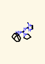 Cn1ccnc1/N=C(/NC12CC3CC(CC(C3)C1)C2)N1CCCC1